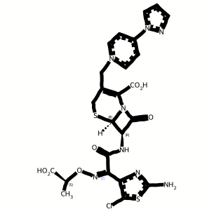 C[C@H](O/N=C(\C(=O)N[C@@H]1C(=O)N2C(C(=O)O)=C(C[n+]3ccc(-n4cccn4)cc3)CS[C@H]12)c1nc(N)sc1Cl)C(=O)O